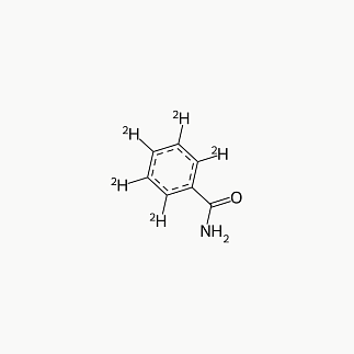 [2H]c1c([2H])c([2H])c(C(N)=O)c([2H])c1[2H]